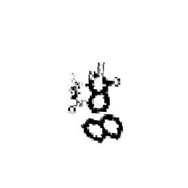 O=c1[nH]nc([N+](=O)[O-])c2c([N+](=O)[O-])cccc12.c1ccc2ccccc2c1